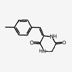 Cc1ccc(/C=C2/NC(=O)CNC2=O)cc1